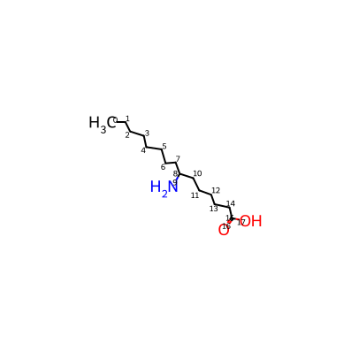 CCCCCCCCC(N)CCCCCC(=O)O